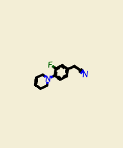 N#CCc1ccc(N2CC=CCC2)c(F)c1